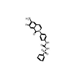 Nc1cc2ccn(-c3ccc(NC(=O)NS(=O)(=O)c4ccccc4)cc3)c(=O)c2cc1F